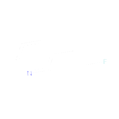 FCCc1[c]nccc1